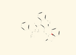 CCC(NC(=O)c1c(CN2CCCC2=O)c(-c2ccccc2)nc2ccccc12)c1ccccc1